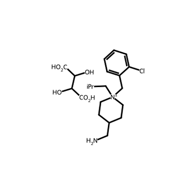 CC(C)C[N+]1(Cc2ccccc2Cl)CCC(CN)CC1.O=C(O)C(O)C(O)C(=O)O